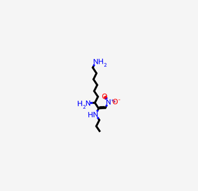 CCCNC(=C[N+](=O)[O-])C(N)CCCCCCN